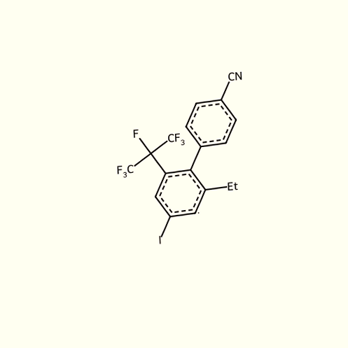 CCc1[c]c(I)cc(C(F)(C(F)(F)F)C(F)(F)F)c1-c1ccc(C#N)cc1